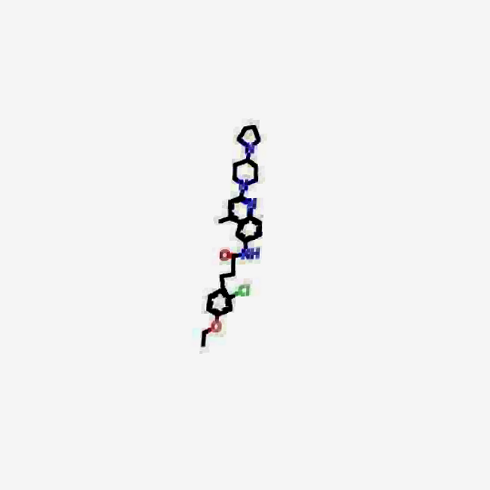 CCOc1ccc(CCC(=O)Nc2ccc3nc(N4CCC(N5CCCC5)CC4)cc(C)c3c2)c(Cl)c1